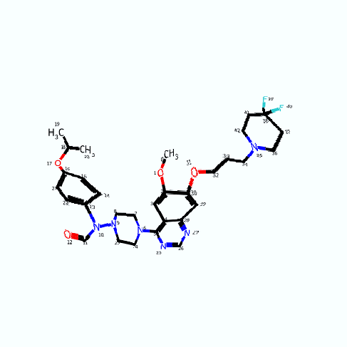 COc1cc2c(N3CCN(N(C=O)c4ccc(OC(C)C)cc4)CC3)ncnc2cc1OCCCN1CCC(F)(F)CC1